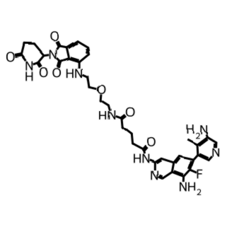 Cc1c(N)cncc1-c1cc2cc(NC(=O)CCCC(=O)NCCOCCNc3cccc4c3C(=O)N(C3CCC(=O)NC3=O)C4=O)ncc2c(N)c1F